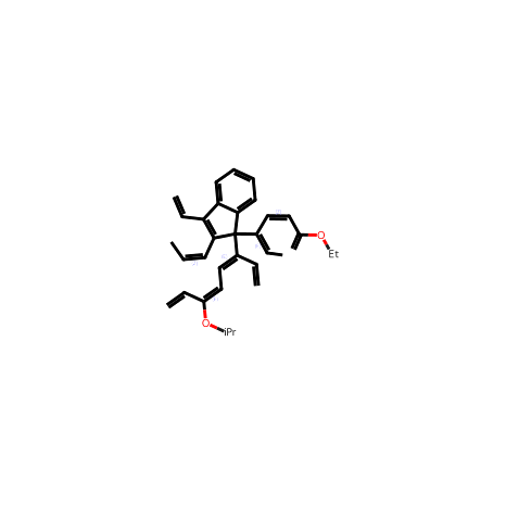 C=CC1=C(/C=C\C)C(/C(C=C)=C/C=C(\C=C)OC(C)C)(C(/C=C\C(=C)OCC)=C/C)c2ccccc21